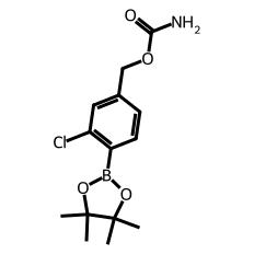 CC1(C)OB(c2ccc(COC(N)=O)cc2Cl)OC1(C)C